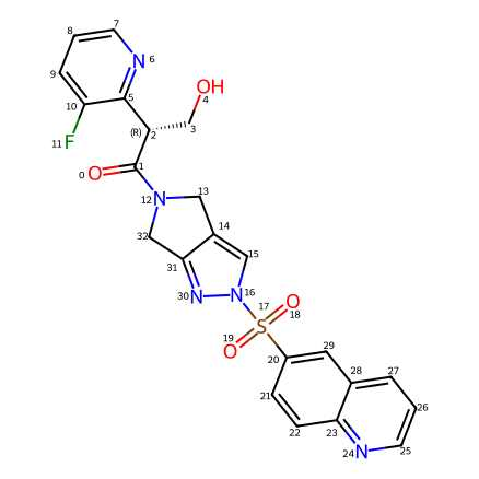 O=C([C@@H](CO)c1ncccc1F)N1Cc2cn(S(=O)(=O)c3ccc4ncccc4c3)nc2C1